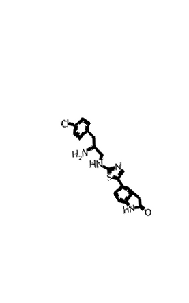 NC(CNc1ncc(-c2ccc3c(c2)CC(=O)N3)s1)Cc1ccc(Cl)cc1